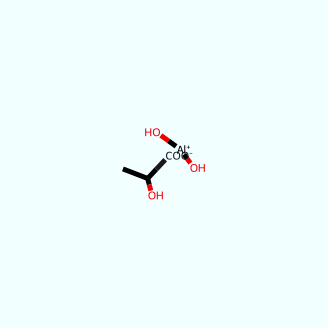 CC(O)C(=O)[O-].[OH][Al+][OH]